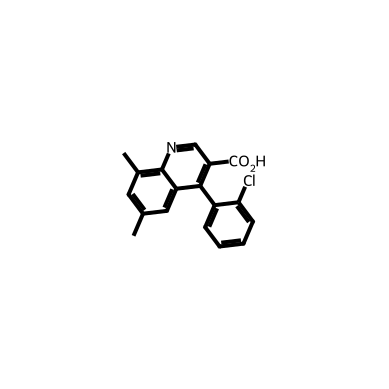 Cc1cc(C)c2ncc(C(=O)O)c(-c3ccccc3Cl)c2c1